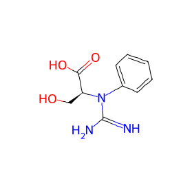 N=C(N)N(c1ccccc1)[C@@H](CO)C(=O)O